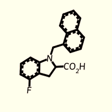 O=C(O)C1Cc2c(F)cccc2N1Cc1cccc2ccccc12